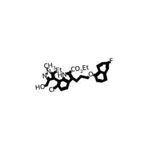 CCOC(=O)c1[nH]c2c(-c3c(CO)nn(C)c3CC)c(Cl)ccc2c1CCCOc1cccc2cc(F)ccc12